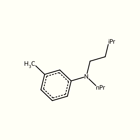 CCCN(CCC(C)C)c1cccc(C)c1